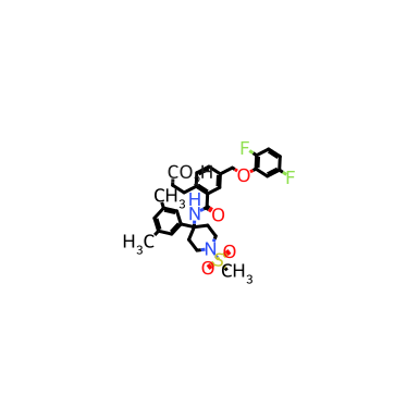 Cc1cc(C)cc(C2(NC(=O)c3cc(COc4cc(F)ccc4F)ccc3CCC(=O)O)CCN(S(C)(=O)=O)CC2)c1